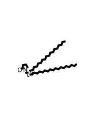 CCCCCCCCCCCCCCCCCC[N+](C)(CCCCCCCCCCCCCCCCCC)CN1CCCC1=O